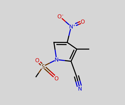 Cc1c([N+](=O)[O-])cn(S(C)(=O)=O)c1C#N